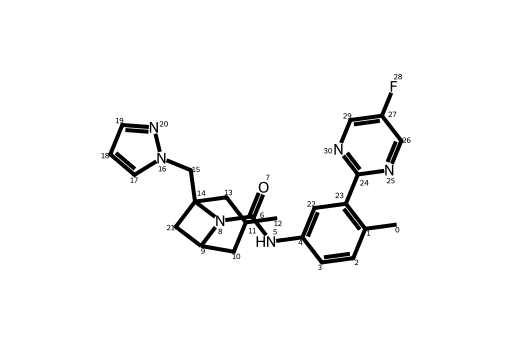 Cc1ccc(NC(=O)N2C3CC(C)CC2(Cn2cccn2)C3)cc1-c1ncc(F)cn1